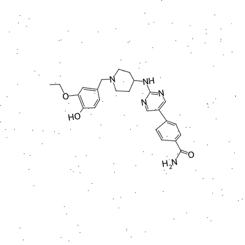 CCOc1cc(CN2CCC(Nc3ncc(-c4ccc(C(N)=O)cc4)cn3)CC2)ccc1O